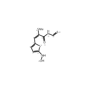 CS/C(=C/c1ccc(NO)s1)C(=O)NC=S